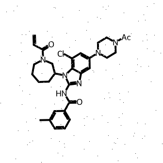 C=CC(=O)N1CCCCC(n2c(NC(=O)c3cccc(C)c3)nc3cc(N4CCN(C(C)=O)CC4)cc(Cl)c32)C1